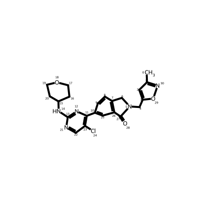 Cc1cc(CN2Cc3ccc(-c4nc(NC5CCOCC5)ncc4Cl)cc3C2=O)on1